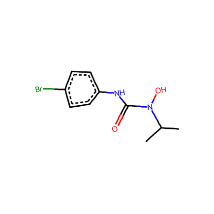 CC(C)N(O)C(=O)Nc1ccc(Br)cc1